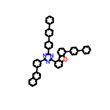 c1ccc(-c2ccc(-c3ccc(-c4nc(-c5cccc(-c6ccc7ccccc7c6)c5)nc(-c5cccc6oc7c(-c8ccc(-c9ccccc9)cc8)cccc7c56)n4)cc3)cc2)cc1